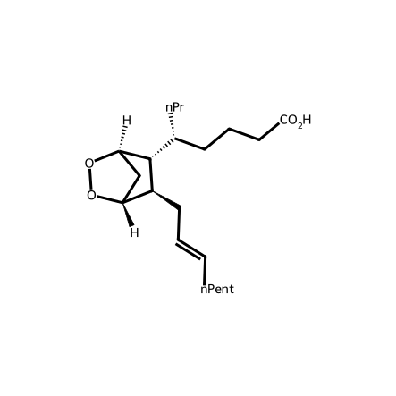 CCCCCC=CC[C@@H]1[C@@H]([C@H](CCC)CCCC(=O)O)[C@H]2C[C@H]1OO2